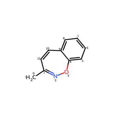 [CH2]C1=NOc2ccccc2C=C1